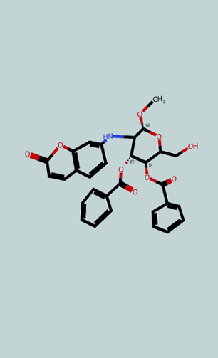 CO[C@H]1OC(CO)[C@@H](OC(=O)c2ccccc2)[C@H](OC(=O)c2ccccc2)C1Nc1ccc2ccc(=O)oc2c1